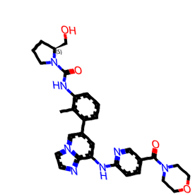 Cc1c(NC(=O)N2CCC[C@H]2CO)cccc1-c1cc(Nc2ccc(C(=O)N3CCOCC3)cn2)c2nccn2c1